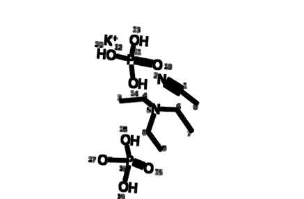 CC#N.CCN(CC)CC.O=P(O)(O)O.O=P([O-])(O)O.[K+]